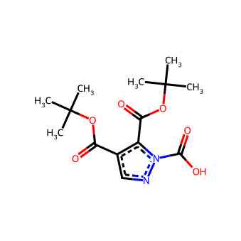 CC(C)(C)OC(=O)c1cnn(C(=O)O)c1C(=O)OC(C)(C)C